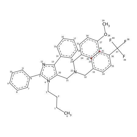 CCCCn1c(-c2ccccc2)nc(-c2ccccc2)c1CN(Cc1ccc(OC)cc1)Cc1ccc(C(F)(F)F)cc1